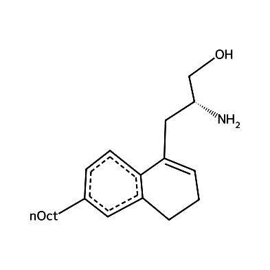 CCCCCCCCc1ccc2c(c1)CCC=C2C[C@@H](N)CO